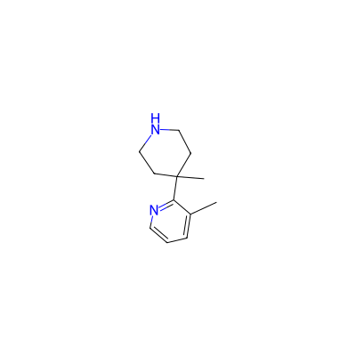 Cc1cccnc1C1(C)CCNCC1